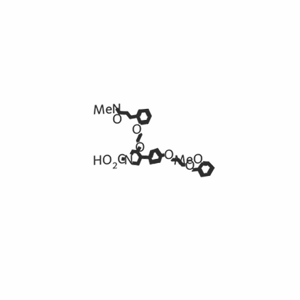 CNC(=O)CCc1ccccc1OCCOC1CN(C(=O)O)CCC1c1ccc(OCCCOCc2ccccc2OC)cc1